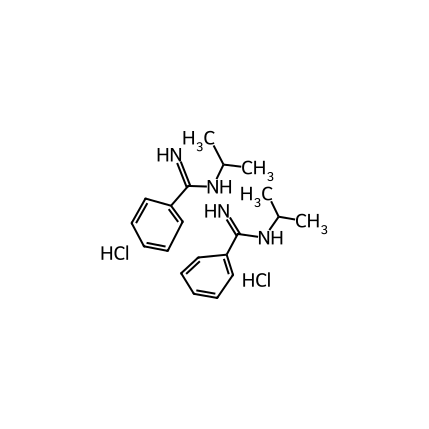 CC(C)NC(=N)c1ccccc1.CC(C)NC(=N)c1ccccc1.Cl.Cl